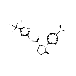 C[N+](=O)c1ccc(N2C(=O)CC[C@H]2C(=O)Nc2cc(C(C)(C)C)on2)cc1